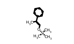 CC(=CO[Si](C)(C)C)c1ccccc1